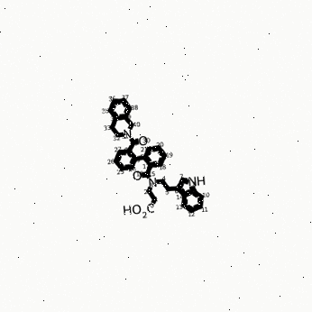 O=C(O)CCN(CCc1c[nH]c2ccccc12)C(=O)c1ccccc1-c1ccccc1C(=O)N1CCc2ccccc2C1